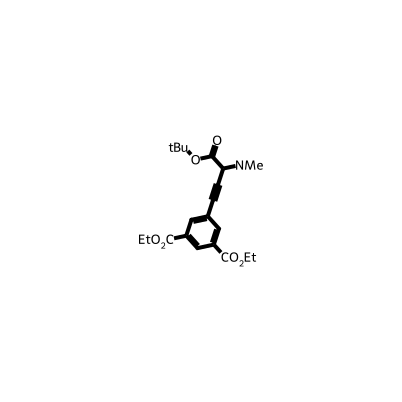 CCOC(=O)c1cc(C#CC(NC)C(=O)OC(C)(C)C)cc(C(=O)OCC)c1